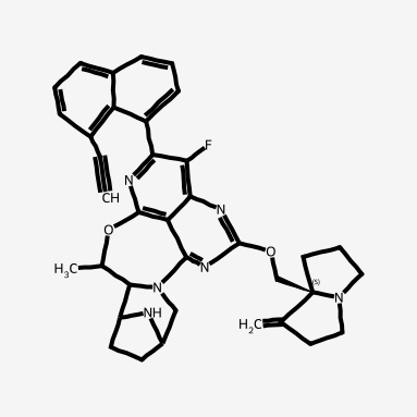 C#Cc1cccc2cccc(-c3nc4c5c(nc(OC[C@@]67CCCN6CCC7=C)nc5c3F)N3CC5CCC(N5)C3C(C)O4)c12